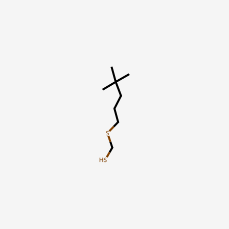 CC(C)(C)CCCSCS